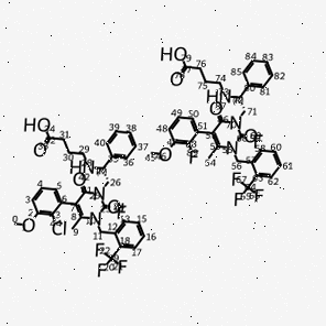 COc1cccc(-c2c(C)n(Cc3c(F)cccc3C(F)(F)F)c(=O)n(C[C@H](NCCCC(=O)O)c3ccccc3)c2=O)c1Cl.COc1cccc(-c2c(C)n(Cc3c(F)cccc3C(F)(F)F)c(=O)n(C[C@H](NCCCC(=O)O)c3ccccc3)c2=O)c1F